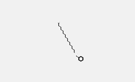 O=C(O)CCCCCCCCCCCCCCCOCc1ccccc1